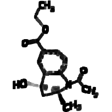 CCOC(=O)c1ccc2c(c1)[C@@H](O)C[C@H](C)N2C(C)=O